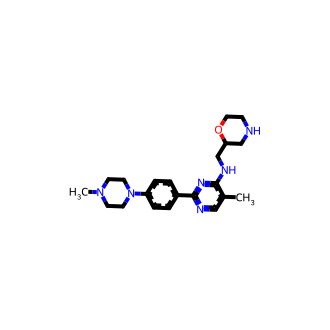 Cc1cnc(-c2ccc(N3CCN(C)CC3)cc2)nc1NCC1CNCCO1